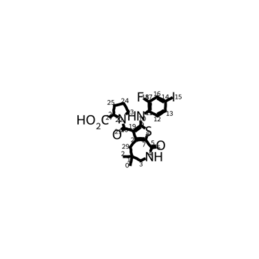 CC1(C)CNC(=O)c2sc(Nc3ccc(I)cc3F)c(C(=O)N3CCCC3C(=O)O)c2C1